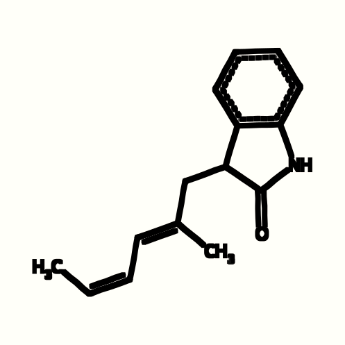 C/C=C\C=C(/C)CC1C(=O)Nc2ccccc21